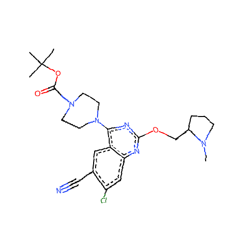 CN1CCCC1COc1nc(N2CCN(C(=O)OC(C)(C)C)CC2)c2cc(C#N)c(Cl)cc2n1